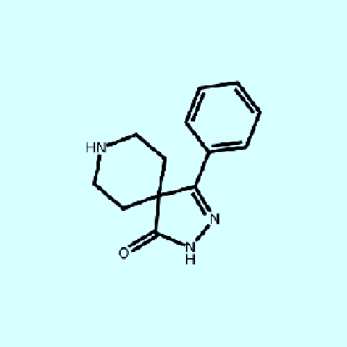 O=C1NN=C(c2ccccc2)C12CCNCC2